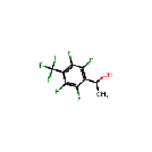 CC(O)c1c(F)c(F)c(C(F)(F)F)c(F)c1F